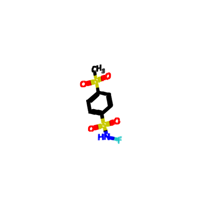 CS(=O)(=O)c1ccc(S(=O)(=O)NF)cc1